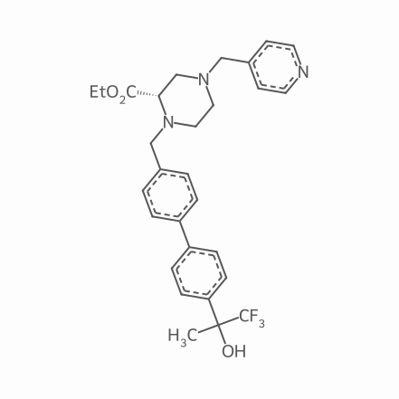 CCOC(=O)[C@@H]1CN(Cc2ccncc2)CCN1Cc1ccc(-c2ccc(C(C)(O)C(F)(F)F)cc2)cc1